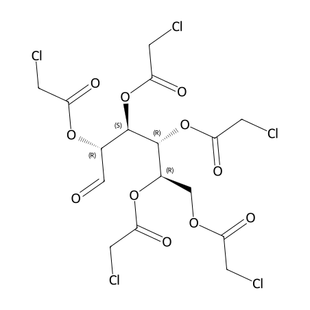 O=C[C@H](OC(=O)CCl)[C@@H](OC(=O)CCl)[C@H](OC(=O)CCl)[C@@H](COC(=O)CCl)OC(=O)CCl